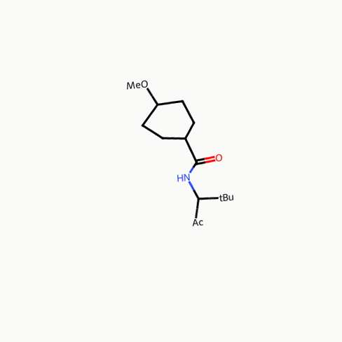 COC1CCC(C(=O)NC(C(C)=O)C(C)(C)C)CC1